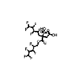 O=C(O)CC(CC(F)C(F)C(F)C(F)F)(C(=O)OCC(F)C(F)C(F)C(F)F)S(=O)(=O)O